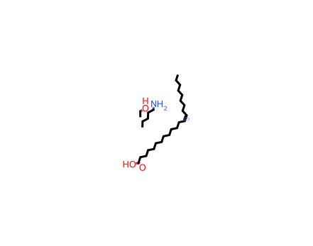 CCCCCCCC/C=C\CCCCCCCCCCCC(=O)O.CCCCCN.CCO